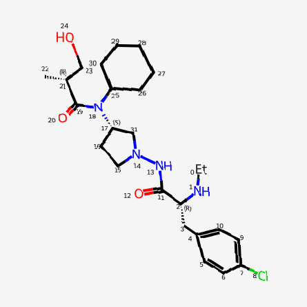 CCN[C@H](Cc1ccc(Cl)cc1)C(=O)NN1CC[C@H](N(C(=O)[C@H](C)CO)C2CCCCC2)C1